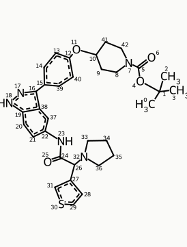 CC(C)(C)OC(=O)N1CCC(Oc2ccc(-c3n[nH]c4ccc(NC(=O)C(c5ccsc5)N5CCCC5)cc34)cc2)CC1